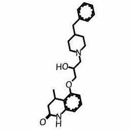 CC1CC(=O)Nc2cccc(OCC(O)CN3CCC(Cc4ccccc4)CC3)c21